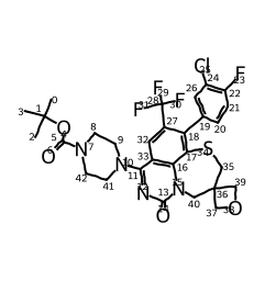 CC(C)(C)OC(=O)N1CCN(c2nc(=O)n3c4c(c(-c5ccc(F)c(Cl)c5)c(C(F)(F)F)cc24)SCC2(COC2)C3)CC1